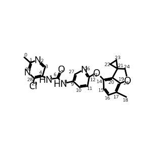 Cc1ncc(NC(=O)Nc2ccc(Oc3ccc(C)c4c3C3(CC3)CO4)nc2)c(Cl)n1